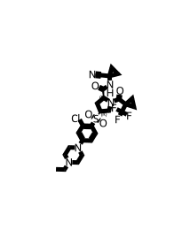 CCN1CCN(c2ccc(S(=O)(=O)[C@@H]3C[C@@H](C(=O)NC4(C#N)CC4)N(C(=O)C4(C(F)(F)F)CC4)C3)c(Cl)c2)CC1